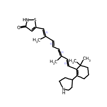 CC(/C=C/C1=C(C2CCNCC2)CCCC1(C)C)=C\C=C\C(C)=C\c1cc(=O)[nH]s1